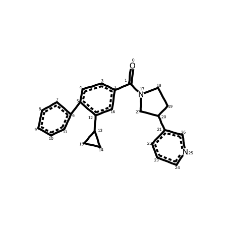 O=C(c1ccc(-c2ccccc2)c(C2CC2)c1)N1CCC(c2cccnc2)C1